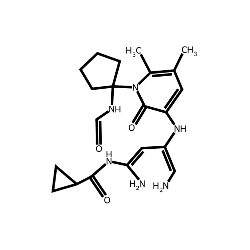 Cc1cc(NC(/C=C(\N)NC(=O)C2CC2)=C/N)c(=O)n(C2(NC=O)CCCC2)c1C